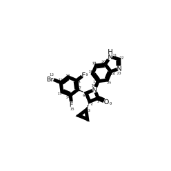 O=C1[C@H](C2CC2)[C@H](c2c(F)cc(Br)cc2F)N1c1ccc2[nH]cnc2c1